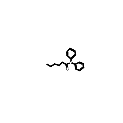 CCCCCC(=O)N(c1cc[c]cc1)c1ccccc1